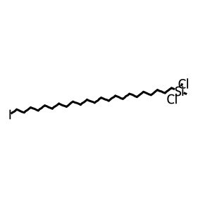 C[Si](Cl)(Cl)CCCCCCCCCCCCCCCCCCCCCCCI